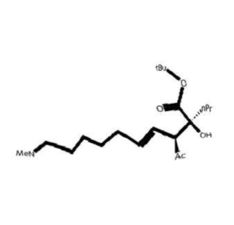 CCC[C@@](O)(C(=O)OC(C)(C)C)[C@H](/C=C/CCCCCNC)C(C)=O